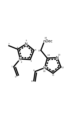 C=Cn1ccnc1C.C=Cn1ccnc1CCCCCCCCCCC